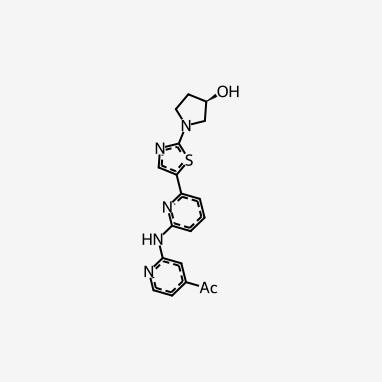 CC(=O)c1ccnc(Nc2cccc(-c3cnc(N4CC[C@@H](O)C4)s3)n2)c1